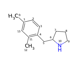 Cc1ccc(CC2CCCN2)c(C)c1